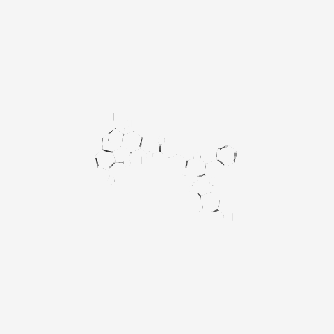 COc1ccc2c3c1O[C@@H]1C(OC(=O)CCC(=O)O[C@H](C(=O)O[C@H](CC(=O)O)C(=O)O)c4ccccc4)=CC[C@]4(O)[C@@H](CCC[C@@]314)C2